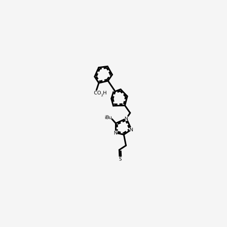 CCC(C)c1nc(CC=S)nn1Cc1ccc(-c2ccccc2C(=O)O)cc1